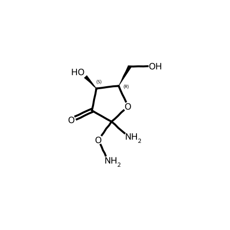 NOC1(N)O[C@H](CO)[C@H](O)C1=O